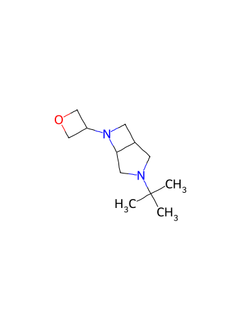 CC(C)(C)N1CC2CN(C3COC3)C2C1